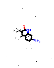 Cc1c(C)c2ccc(N)cc2[nH]c1=O